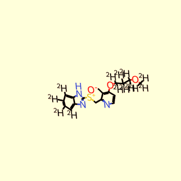 [2H]c1c([2H])c([2H])c2[nH]c([S+]([O-])Cc3nccc(OC([2H])([2H])C([2H])([2H])C([2H])([2H])OC([2H])([2H])[2H])c3C)nc2c1[2H]